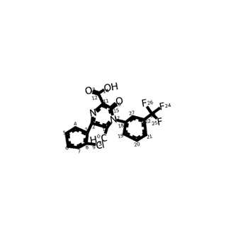 Cc1c(-c2ccccc2Cl)nc(C(=O)O)c(=O)n1-c1cccc(C(F)(F)F)c1